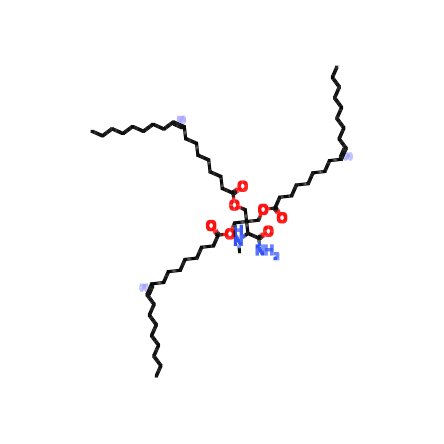 CCCCCCCC/C=C\CCCCCCCC(=O)OCC(COC(=O)CCCCCCC/C=C\CCCCCCCC)(COC(=O)CCCCCCC/C=C\CCCCCCCC)C(NC)C(N)=O